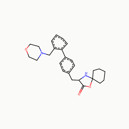 O=C1OC2(CCCCC2)NC1Cc1ccc(-c2ccccc2CN2CCOCC2)cc1